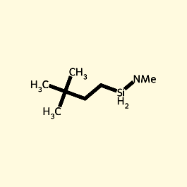 CN[SiH2]CCC(C)(C)C